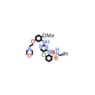 COc1ccc(OCCN2CCOCC2)cc1Nc1ncc(Cl)c(Nc2ccccc2S(=O)(=O)NCC(C)C)n1